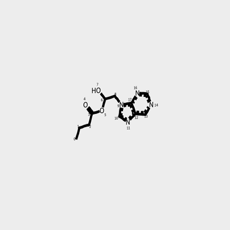 CCCC(=O)OC(O)Cn1cnc2cncnc21